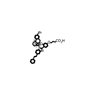 COc1cc(OCCCC(=O)O)ccc1-c1nc2cc(/C=C/c3ccccc3)ccc2n1C[C@@]1(C)CCC[C@]2(C)c3ccc(C(C)C)cc3CC[C@@H]12